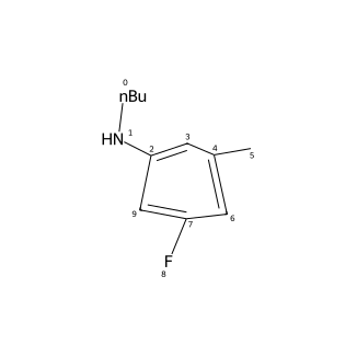 CCCCNc1cc(C)cc(F)c1